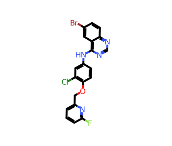 Fc1cccc(COc2ccc(Nc3ncnc4ccc(Br)cc34)cc2Cl)n1